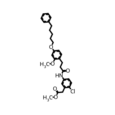 COC(=O)Cc1cc(NC(=O)CCc2ccc(OCCCCCc3ccccc3)cc2OC)ccc1Cl